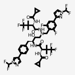 CC(C)([C@H](NC(=O)C1CC1)C(=O)N[C@@H](Cc1ccc(-c2cnn(C(F)F)c2)cc1)[C@@H](O)CN(Cc1c(F)cc(-c2ccn(C(F)F)n2)cc1F)NC(=O)[C@@H](NC(=O)C1CC1)C(C)(C)C(F)(F)F)C(F)(F)F